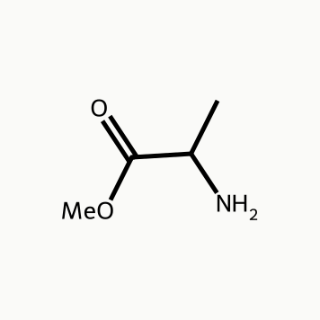 [CH2]OC(=O)C(C)N